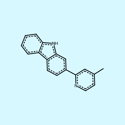 Cc1ccnc(-c2ccc3c(c2)[nH]c2ccccc23)c1